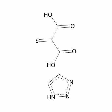 O=C(O)C(=S)C(=O)O.c1c[nH]nn1